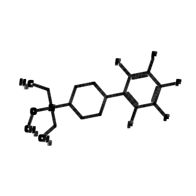 CC[Si](CC)(OC)C1CCC(c2c(F)c(F)c(F)c(F)c2F)CC1